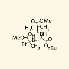 CCCCOC(=O)C(BCC(C)(C)C(=O)OC)CBC(C)(CC)C(=O)OC